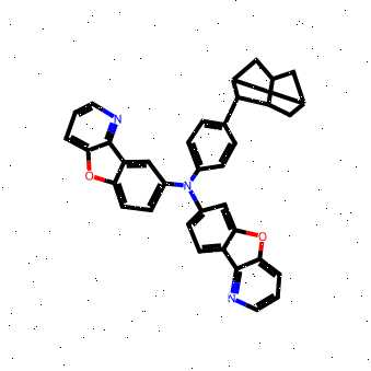 c1cnc2c(c1)oc1cc(N(c3ccc(C4C5CC6CC5CC64)cc3)c3ccc4oc5cccnc5c4c3)ccc12